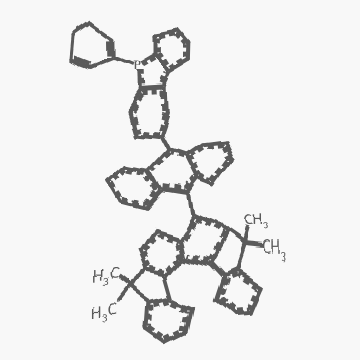 CC1(C)c2ccccc2-c2c1ccc1c(-c3c4ccccc4c(-c4ccc5c(c4)c4ccccc4p5C4=CCCC=C4)c4ccccc34)cc3c(c21)-c1ccccc1C3(C)C